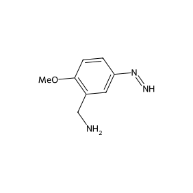 COc1ccc(N=N)cc1CN